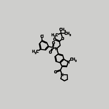 Cc1cc(Cl)cc(S(=O)(=O)N(CC(=O)OC(C)(C)C)c2ccc3c(C(=O)N4CCCC4)cn(C)c3c2)c1